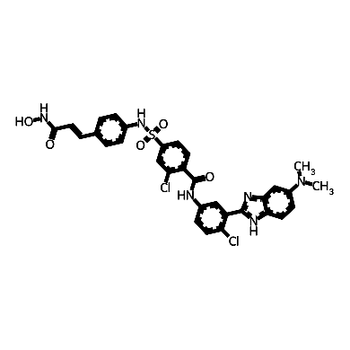 CN(C)c1ccc2[nH]c(-c3cc(NC(=O)c4ccc(S(=O)(=O)Nc5ccc(/C=C/C(=O)NO)cc5)cc4Cl)ccc3Cl)nc2c1